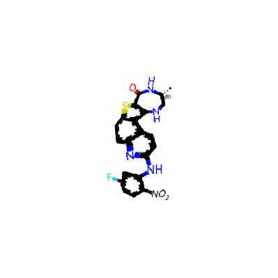 C[C@@H]1CNc2c(sc3ccc4nc(Nc5cc(F)ccc5[N+](=O)[O-])ccc4c23)C(=O)N1